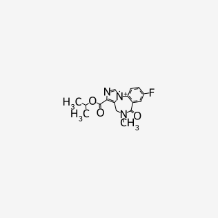 CC(C)OC(=O)C1=C2CN(C)C(=O)c3cc(F)ccc3[N+]2C=N1